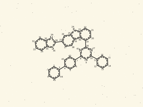 c1ccc(-c2ccc(-c3nc(-c4ccccc4)nc(-c4cccc5sc6cc(-c7nc8ccccc8s7)ccc6c45)n3)cc2)cc1